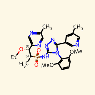 CCO[C@H](c1cnc(C)cn1)[C@H](C)S(=O)(=O)Nc1nnc(-c2cncc(C)c2)n1-c1c(OC)cccc1OC